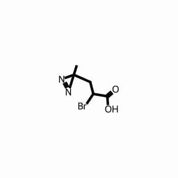 CC1(CC(Br)C(=O)O)N=N1